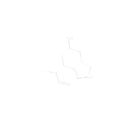 NC1Cc2c[nH]c3ccc(O)c(c23)C1